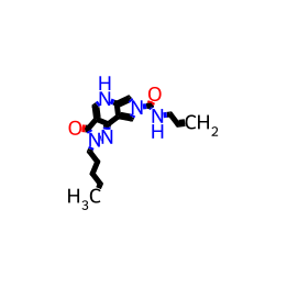 C=CCNC(=O)n1cc2[nH]cc3c(=O)n(CCCCC)nc-3c2c1